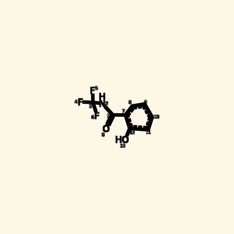 O=C(NC(F)(F)F)c1ccccc1O